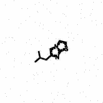 CC(C)Cc1cn2ccsc2n1